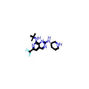 CC(C)(C)Nc1nc(C(F)F)cc2cnc(N[C@H]3CCCNC3)nc12